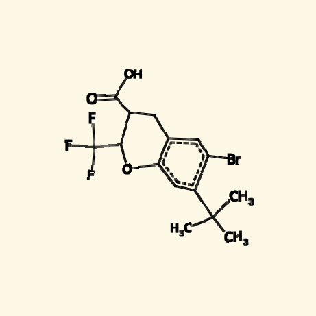 CC(C)(C)c1cc2c(cc1Br)CC(C(=O)O)C(C(F)(F)F)O2